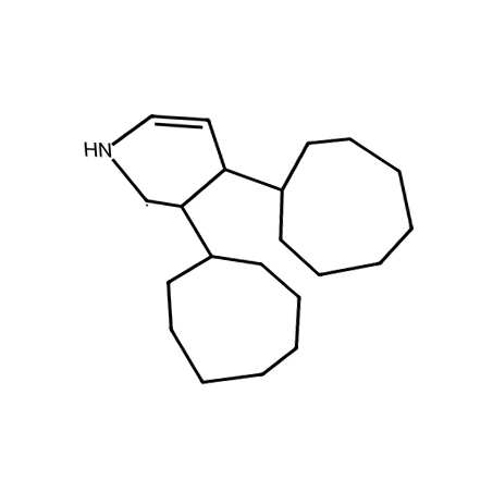 [CH]1NC=CC(C2CCCCCCC2)C1C1CCCCCCC1